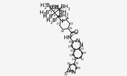 BC(B)(B)C(B)(C(B)(B)B)C(B)(B)N1CCC(C(=O)Nc2cc3cc(-c4cnn(C)c4)ccc3nn2)CC1